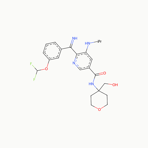 CC(C)Nc1cc(C(=O)NC2(CO)CCOCC2)cnc1C(=N)c1cccc(OC(F)F)c1